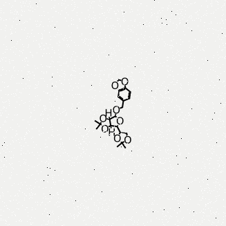 CC1(C)O[C@@H]2[C@H](O1)[C@@H](OCc1ccc3c(c1)OCO3)O[C@@H]2[C@H]1COC(C)(C)O1